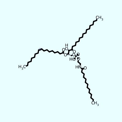 CCCCCCCC/C=C\CCCCCCCC(=O)O[C@@H](COP(=O)(O)OCCNC(=O)CCCCCCCCCCCCC)C(O)C(=O)CCCCCCCCCCCCCCC